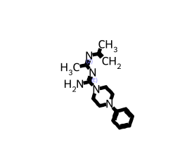 C=C(C)/N=C(C)\N=C(/N)N1CCN(c2ccccc2)CC1